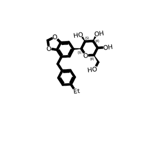 CCc1ccc(Cc2cc([C@@H]3O[C@H](CO)C(O)[C@H](O)[C@@H]3O)cc3c2OCO3)cc1